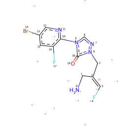 NC/C(=C\F)Cn1ncn(-c2ncc(Br)cc2F)c1=O